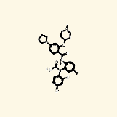 CN1CCC(Oc2cc(N3CCCC3)ccc2C(=O)Nc2ccc(F)cc2N(C(=O)C(F)(F)F)c2ccc(Br)cc2Cl)CC1